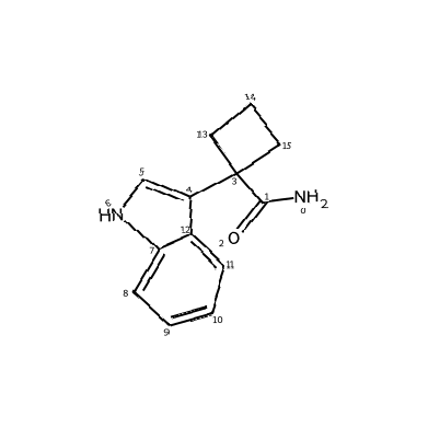 NC(=O)C1(c2c[nH]c3ccccc23)CCC1